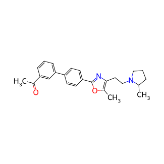 CC(=O)c1cccc(-c2ccc(-c3nc(CCN4CCCC4C)c(C)o3)cc2)c1